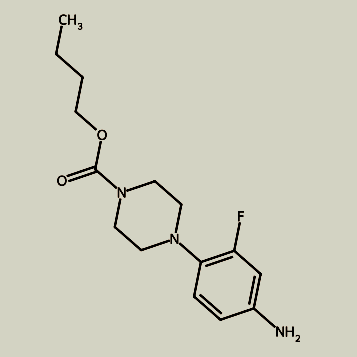 CCCCOC(=O)N1CCN(c2ccc(N)cc2F)CC1